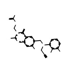 C#CCN(Cc1cc2c(=O)n(COC(=O)C(C)(C)C)c(C)nc2cc1Cl)c1cccc(C(=O)O)c1F